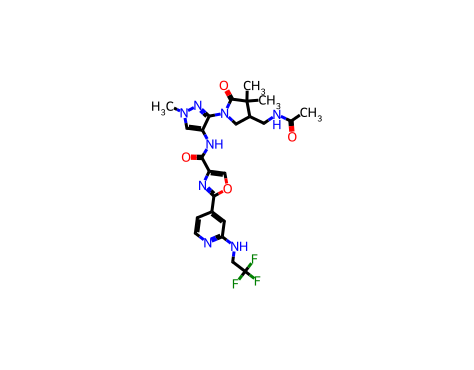 CC(=O)NCC1CN(c2nn(C)cc2NC(=O)c2coc(-c3ccnc(NCC(F)(F)F)c3)n2)C(=O)C1(C)C